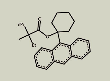 CCCC(C)(CC)C(=O)OC1(c2c3ccccc3cc3ccccc23)CCCCC1